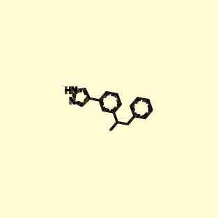 CC(Cc1ccccc1)c1cccc(-c2cn[nH]c2)c1